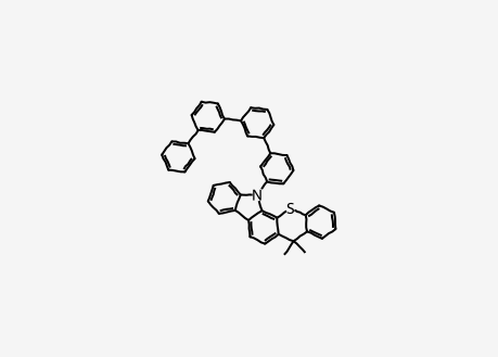 CC1(C)c2ccccc2Sc2c1ccc1c3ccccc3n(-c3cccc(-c4cccc(-c5cccc(-c6ccccc6)c5)c4)c3)c21